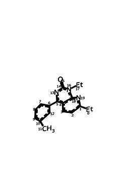 CCc1ccc2c(-c3cccc(C)c3)nc(=O)n(CC)c2n1